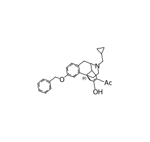 CC(=O)C1=C(O)C[C@@]23CCN(CC4CC4)C(Cc4ccc(OCc5ccccc5)cc42)C3C1